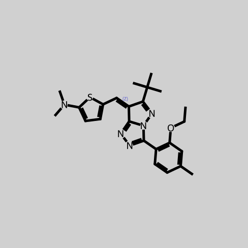 CCOc1cc(C)ccc1-c1nnc2/c(=C\c3ccc(N(C)C)s3)c(C(C)(C)C)nn12